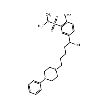 COc1ccc(C(O)CCCCN2CCN(c3ccccc3)CC2)cc1S(=O)(=O)N(C)C